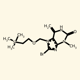 C=C1NC(=O)N(C)c2nc(Br)n(COCC[Si](C)(C)C)c21